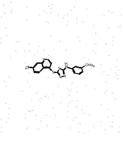 COc1cccc(Nc2nnc(Sc3ccnc4cc(Cl)ccc34)s2)c1